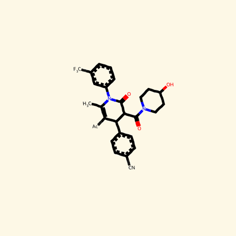 CC(=O)C1=C(C)N(c2cccc(C(F)(F)F)c2)C(=O)C(C(=O)N2CCC(O)CC2)C1c1ccc(C#N)cc1